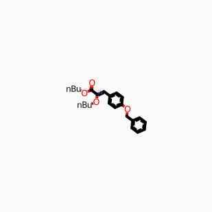 CCCCOC(=O)/C(=C/c1ccc(OCc2ccccc2)cc1)OCCCC